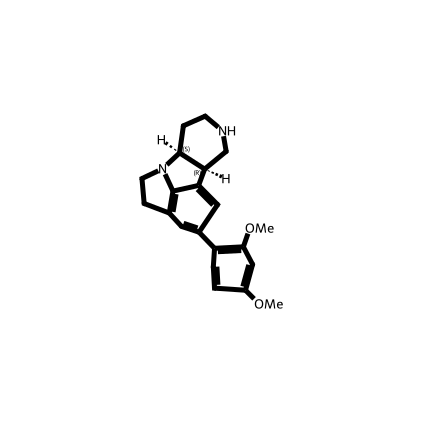 COc1ccc(-c2cc3c4c(c2)[C@@H]2CNCC[C@@H]2N4CC3)c(OC)c1